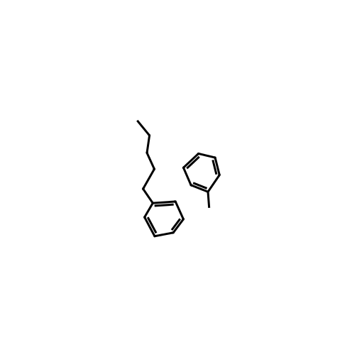 CCCCCc1ccccc1.Cc1ccccc1